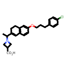 CC(C1=Cc2ccc(OCCCc3ccc(Cl)cc3)cc2CC1)N1CC(C(=O)O)C1